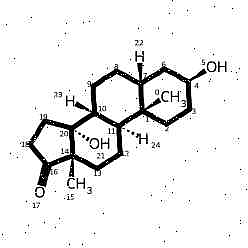 C[C@]12CC[C@H](O)C[C@H]1CC[C@@H]1[C@@H]2CC[C@]2(C)C(=O)CC[C@@]12O